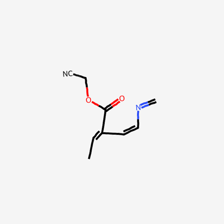 C=N/C=C\C(=C/C)C(=O)OCC#N